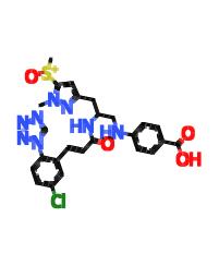 Cn1nc(CC(CNc2ccc(C(=O)O)cc2)NC(=O)/C=C/c2cc(Cl)ccc2-n2cnnn2)cc1[S+](C)[O-]